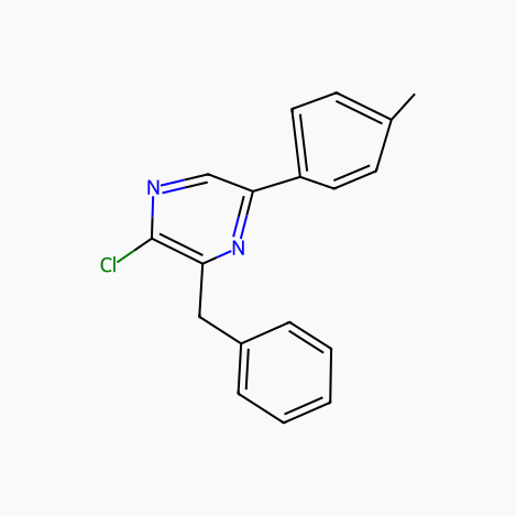 Cc1ccc(-c2cnc(Cl)c(Cc3ccccc3)n2)cc1